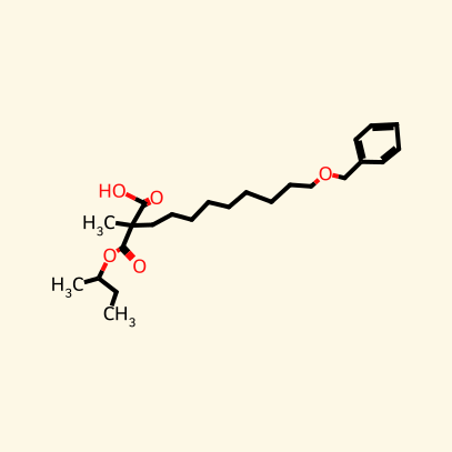 CCC(C)OC(=O)C(C)(CCCCCCCCCOCc1ccccc1)C(=O)O